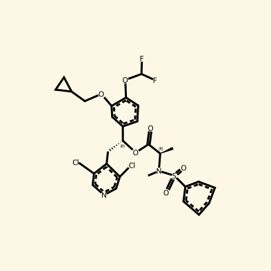 C[C@H](C(=O)O[C@H](Cc1c(Cl)cncc1Cl)c1ccc(OC(F)F)c(OCC2CC2)c1)N(C)S(=O)(=O)c1ccccc1